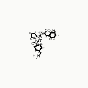 NCc1ccc(S(=O)(=O)N2CCC[C@H]2C(=O)NC(Cc2ccccc2)C(=O)O)cc1